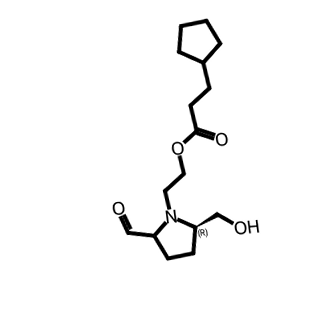 O=CC1CC[C@H](CO)N1CCOC(=O)CCC1CCCC1